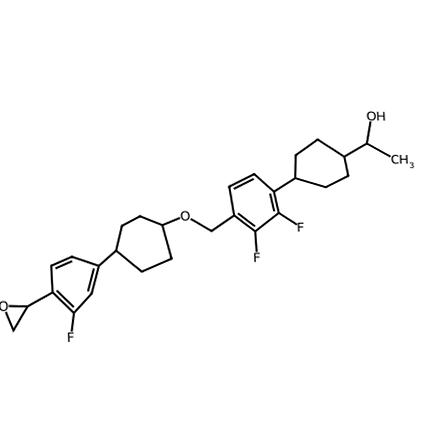 CC(O)C1CCC(c2ccc(COC3CCC(c4ccc(C5CO5)c(F)c4)CC3)c(F)c2F)CC1